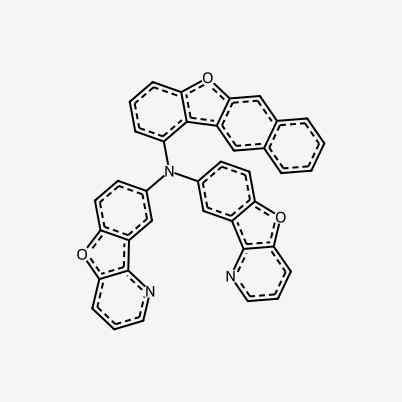 c1ccc2cc3c(cc2c1)oc1cccc(N(c2ccc4oc5cccnc5c4c2)c2ccc4oc5cccnc5c4c2)c13